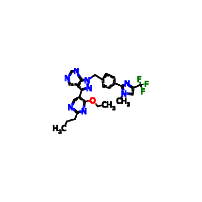 CCCc1ncc(-c2nn(Cc3ccc(-c4nc(C(F)(F)F)cn4C)cc3)c3ncncc23)c(OCC)n1